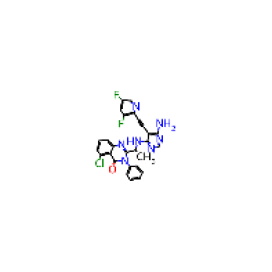 CC(Nc1ncnc(N)c1C#Cc1ncc(F)cc1F)c1nc2cccc(Cl)c2c(=O)n1-c1ccccc1